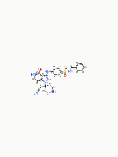 N#CCC1(n2nc(Nc3ccc(S(=O)(=O)NCc4ccccc4)cc3)c3c(=O)[nH]ccc32)CCNCC1